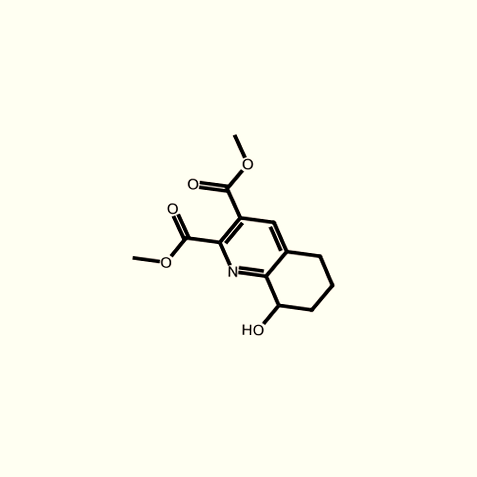 COC(=O)c1cc2c(nc1C(=O)OC)C(O)CCC2